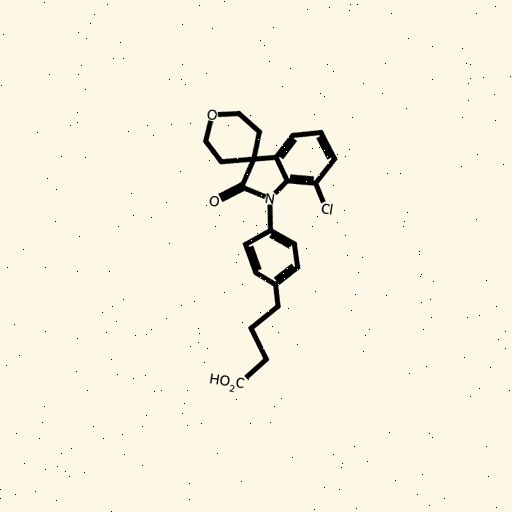 O=C(O)CCCc1ccc(N2C(=O)C3(CCOCC3)c3cccc(Cl)c32)cc1